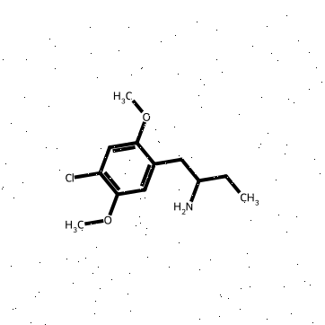 CCC(N)Cc1cc(OC)c(Cl)cc1OC